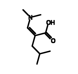 CC(C)CC(=CN(C)C)C(=O)O